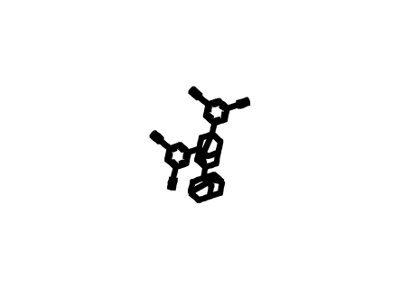 C#Cc1cc(C#C)cc(C23CC4CC(c5cc(C#C)cc(C#C)c5)(C2)CC(C25CC6CC(CC(C6)C2)C5)(C4)C3)c1